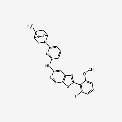 COc1cccc(F)c1-c1nc2cc(Nc3cccc(N4CC5CCC4CN5C)n3)ncc2s1